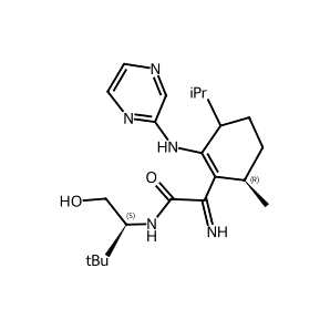 CC(C)C1CC[C@@H](C)C(C(=N)C(=O)N[C@H](CO)C(C)(C)C)=C1Nc1cnccn1